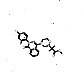 COC(=O)C(C)(C)C1CN(c2nn(-c3ccc(F)cc3F)c(=O)c3ccccc23)CCO1